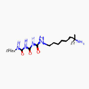 CCCCCCNC(=O)NC(=O)NC(=O)NCCCCCCC(C)(N)CC